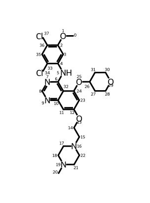 COc1cc(Nc2ncnc3cc(OCCN4CCN(C)CC4)cc(OC4CCOCC4)c23)c(Cl)cc1Cl